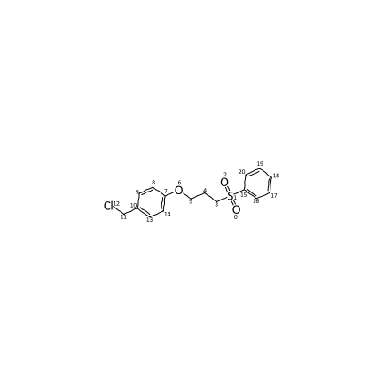 O=S(=O)(CCCOc1ccc(CCl)cc1)c1ccccc1